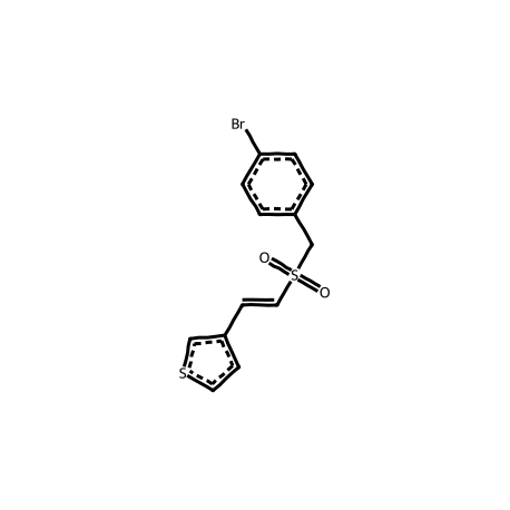 O=S(=O)(C=Cc1ccsc1)Cc1ccc(Br)cc1